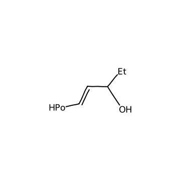 CCC(O)C=[CH][PoH]